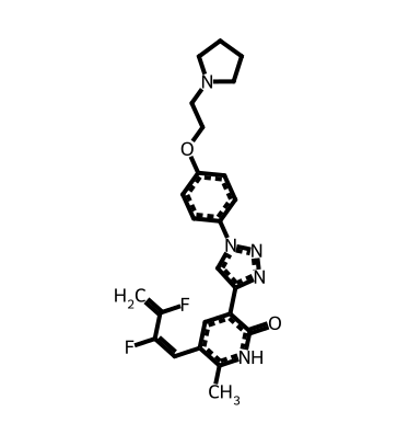 C=C(F)/C(F)=C\c1cc(-c2cn(-c3ccc(OCCN4CCCC4)cc3)nn2)c(=O)[nH]c1C